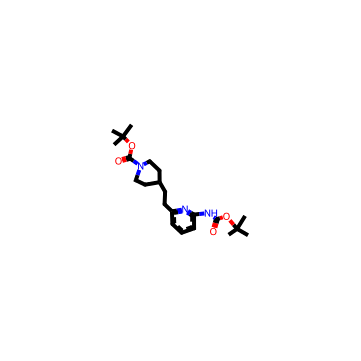 CC(C)(C)OC(=O)Nc1cccc(CCC2CCN(C(=O)OC(C)(C)C)CC2)n1